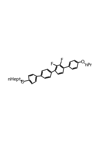 CCCCCCCOc1ccc(-c2ccc(-c3ccc(-c4ccc(OCCC)cc4)c(F)c3F)cc2)cc1